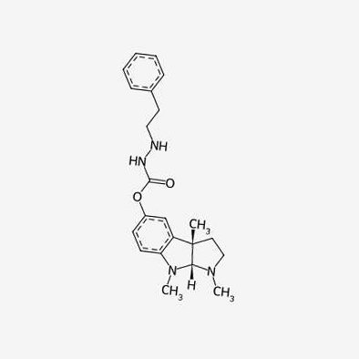 CN1CC[C@@]2(C)c3cc(OC(=O)NNCCc4ccccc4)ccc3N(C)[C@@H]12